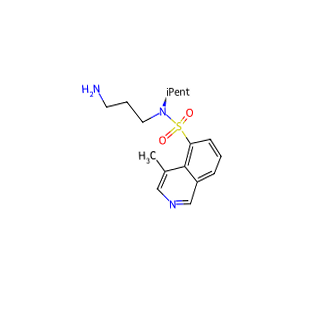 CCC[C@H](C)N(CCCN)S(=O)(=O)c1cccc2cncc(C)c12